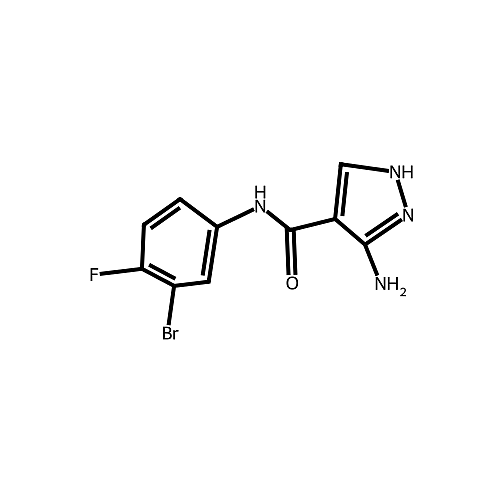 Nc1n[nH]cc1C(=O)Nc1ccc(F)c(Br)c1